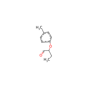 CCC([C]=O)Oc1ccc(C)cc1